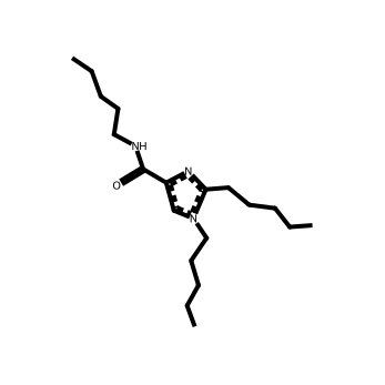 CCCCCNC(=O)c1cn(CCCCC)c(CCCCC)n1